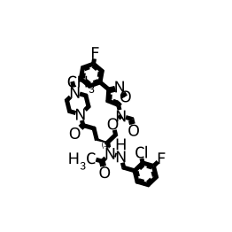 CC(=O)N(NCc1cccc(F)c1Cl)[C@@H](CCC(=O)N1CCN(C)CC1)CON(C=O)c1cc(-c2cccc(F)c2)no1